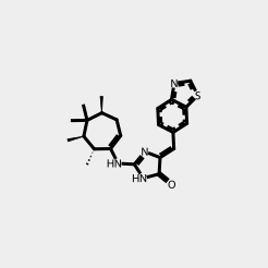 C[C@@H]1[C@@H](C)C(NC2=N/C(=C\c3ccc4ncsc4c3)C(=O)N2)=CC[C@H](C)C1(C)C